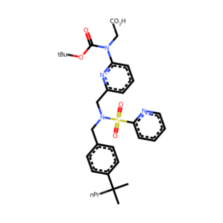 CCCC(C)(C)c1ccc(CN(Cc2cccc(N(CC(=O)O)C(=O)OC(C)(C)C)n2)S(=O)(=O)c2ccccn2)cc1